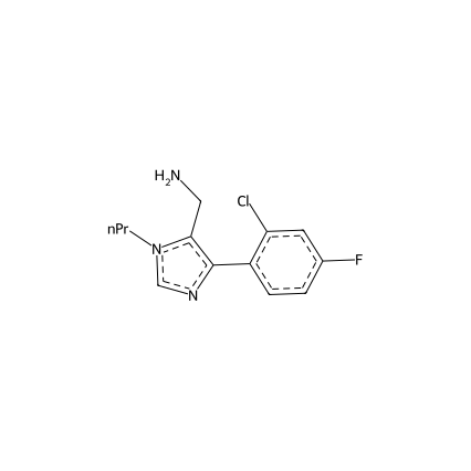 CCCn1cnc(-c2ccc(F)cc2Cl)c1CN